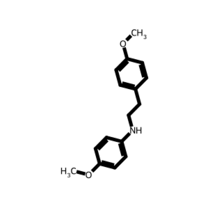 COc1ccc(CCNc2ccc(OC)cc2)cc1